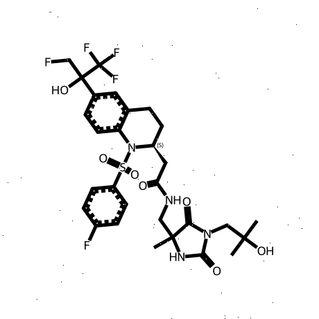 CC(C)(O)CN1C(=O)NC(C)(CNC(=O)C[C@@H]2CCc3cc(C(O)(CF)C(F)(F)F)ccc3N2S(=O)(=O)c2ccc(F)cc2)C1=O